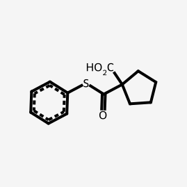 O=C(O)C1(C(=O)Sc2ccccc2)CCCC1